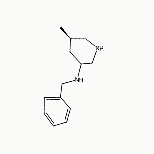 C[C@H]1CNCC(NCc2ccccc2)C1